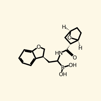 O=C(NC(C[C@@H]1COc2ccccc21)B(O)O)[C@@H]1C[C@H]2CC[C@@H]1O2